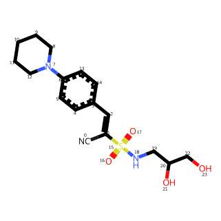 N#C/C(=C\c1ccc(N2CCCCC2)cc1)S(=O)(=O)NCC(O)CO